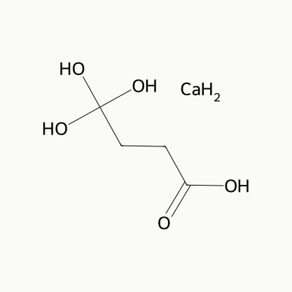 O=C(O)CCC(O)(O)O.[CaH2]